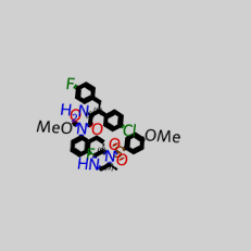 COC(=O)N(C(=O)[C@@H](N)[C@@H](Cc1ccc(F)cc1)c1ccc(Cl)cc1)c1cccc(F)c1CC[C@H]1CNC[C@H](C)N1S(=O)(=O)c1ccc(OC)cc1